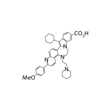 COc1ccc(-c2ccc3c4c(ccc3n2)-c2c(C3CCCCC3)c3ccc(C(=O)O)cc3n2CCN4CCN2CCCCC2)cc1